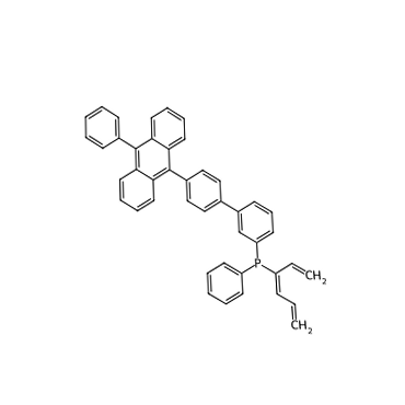 C=C/C=C(\C=C)P(c1ccccc1)c1cccc(-c2ccc(-c3c4ccccc4c(-c4ccccc4)c4ccccc34)cc2)c1